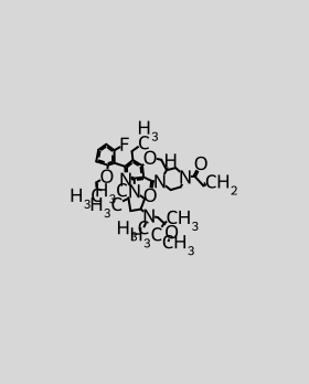 C=CC(=O)N1CCN2C(=O)c3c(N4CC(N(C)CC(C)(C)OC)CC4(C)C)nc(-c4c(F)cccc4OCC)c(CC)c3OC[C@H]2C1